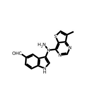 Cc1csc2c(N(N)c3c[nH]c4ccc(C=O)cc34)ncnc12